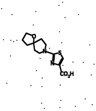 O=C(O)c1csc(N2CCC3(CCCO3)CC2)n1